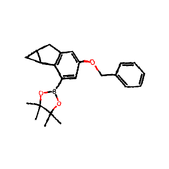 CC1(C)OB(c2cc(OCc3ccccc3)cc3c2C2CC2C3)OC1(C)C